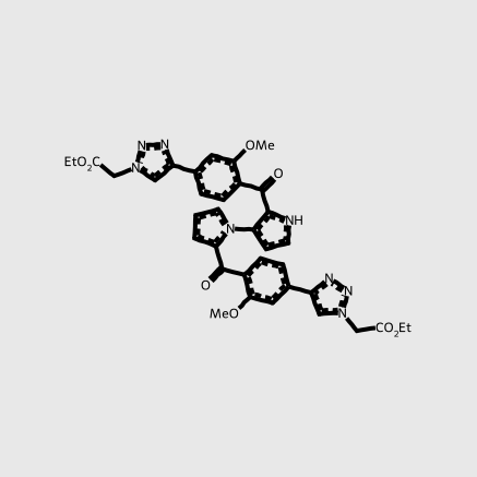 CCOC(=O)Cn1cc(-c2ccc(C(=O)c3[nH]ccc3-n3cccc3C(=O)c3ccc(-c4cn(CC(=O)OCC)nn4)cc3OC)c(OC)c2)nn1